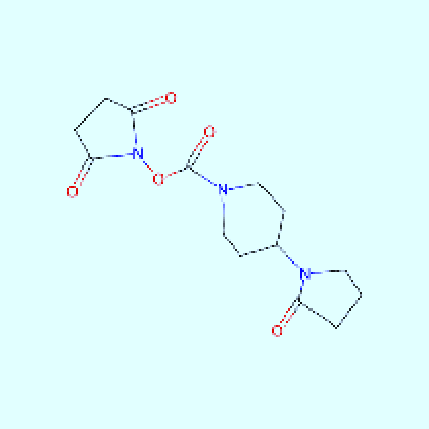 O=C(ON1C(=O)CCC1=O)N1CCC(N2CCCC2=O)CC1